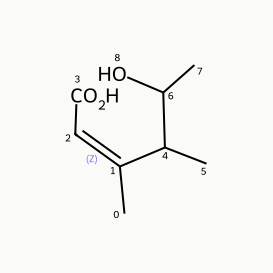 C/C(=C/C(=O)O)C(C)C(C)O